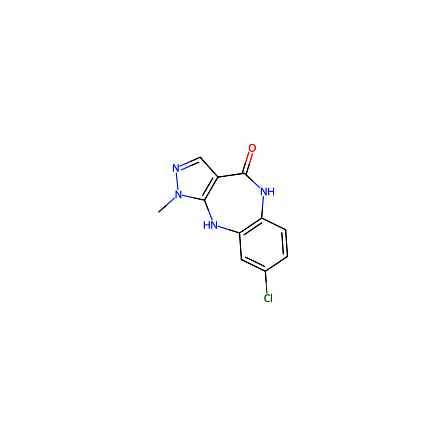 Cn1ncc2c1Nc1cc(Cl)ccc1NC2=O